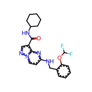 O=C(NC1CCCCC1)c1cnn2ccc(NCc3ccccc3OC(F)F)nc12